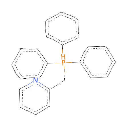 c1ccc([PH](Cc2ccccn2)(c2ccccc2)c2ccccc2)cc1